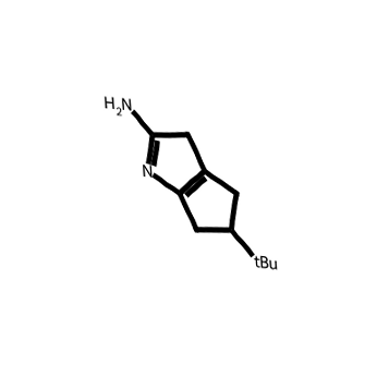 CC(C)(C)C1CC2=C(C1)N=C(N)C2